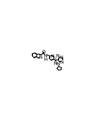 Nc1ncnc2c1c(-c1ccc(CNC(=O)c3cc4ccccc4cn3)cc1)nn2C1CCCC1